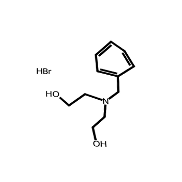 Br.OCCN(CCO)Cc1ccccc1